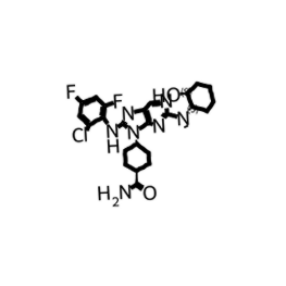 CN(c1ncc2nc(Nc3c(F)cc(F)cc3Cl)n([C@H]3CC[C@H](C(N)=O)CC3)c2n1)[C@H]1CCCC[C@@H]1O